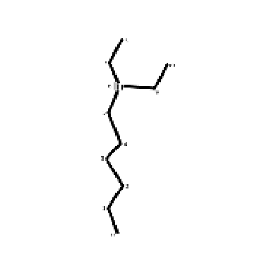 CCCCC[CH2][In]([CH2]C)[CH2]C